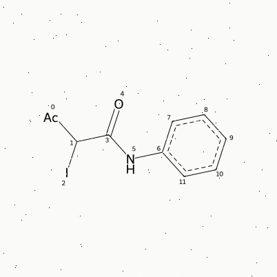 CC(=O)C(I)C(=O)Nc1ccccc1